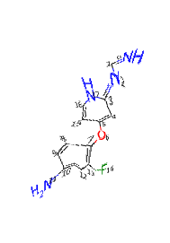 N=C/N=c1/cc(Oc2ccc(N)cc2F)cc[nH]1